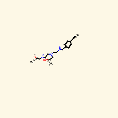 C#Cc1ccc(CNCCN(CCNC[C@H](C)O)C[C@H](C)O)cc1